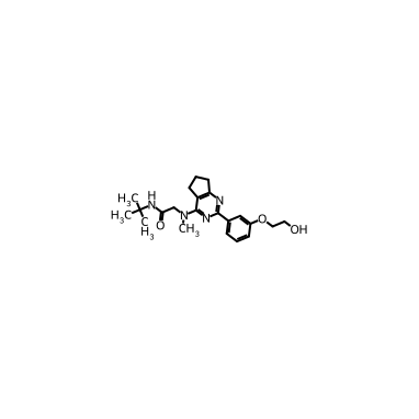 CN(CC(=O)NC(C)(C)C)c1nc(-c2cccc(OCCO)c2)nc2c1CCC2